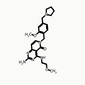 COCCNc1nc(N)nc2ccn(Cc3ccc(CN4CCCC4)cc3OC)c(=O)c12